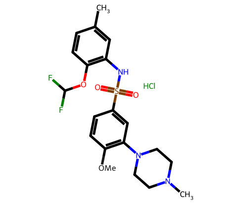 COc1ccc(S(=O)(=O)Nc2cc(C)ccc2OC(F)F)cc1N1CCN(C)CC1.Cl